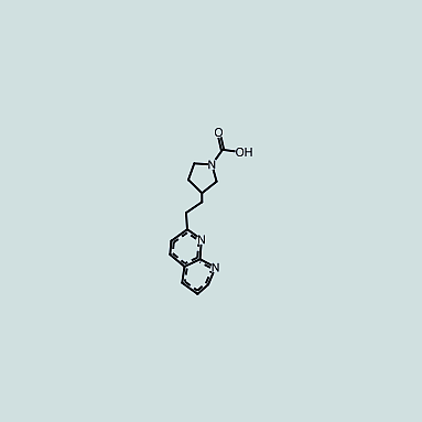 O=C(O)N1CCC(CCc2ccc3cccnc3n2)C1